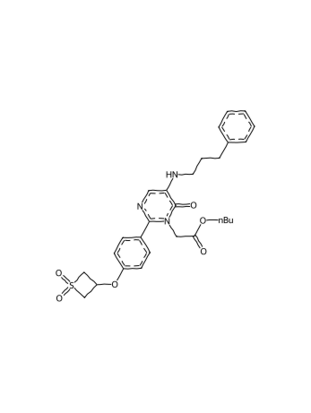 CCCCOC(=O)Cn1c(-c2ccc(OC3CS(=O)(=O)C3)cc2)ncc(NCCCc2ccccc2)c1=O